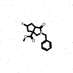 COC(=O)C12CC(F)CC1C(=O)N(Cc1ccccc1)C2